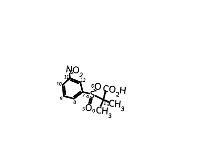 CC(C)(C(=O)O)S(=O)(=O)c1cccc([N+](=O)[O-])c1